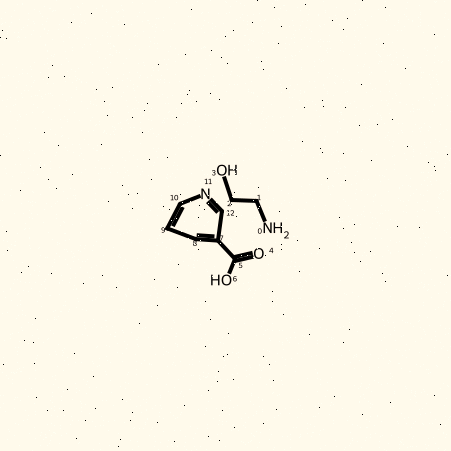 NCCO.O=C(O)c1cccnc1